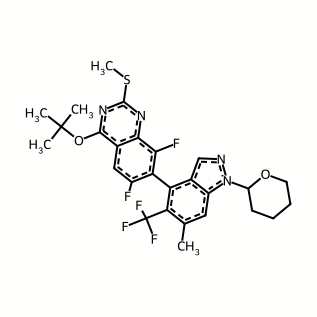 CSc1nc(OC(C)(C)C)c2cc(F)c(-c3c(C(F)(F)F)c(C)cc4c3cnn4C3CCCCO3)c(F)c2n1